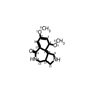 COC1=CC(OC)C2=C3CNCC3CNC(=O)C2=C1